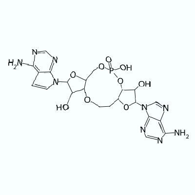 Nc1ncnc2c1ccn2C1OC2COP(=O)(O)OC3C(CCOC2C1O)OC(n1cnc2c(N)ncnc21)C3O